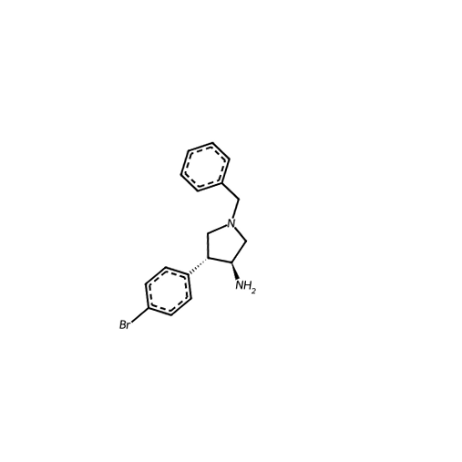 N[C@@H]1CN(Cc2ccccc2)C[C@H]1c1ccc(Br)cc1